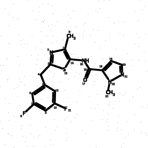 Cc1nc(Cc2cc(F)cc(F)c2)sc1NC(=O)c1ccnn1C